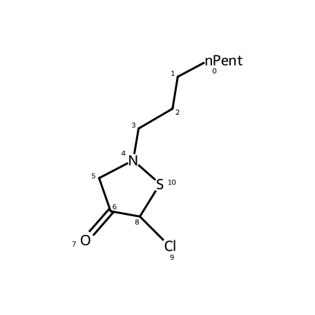 CCCCCCCCN1CC(=O)C(Cl)S1